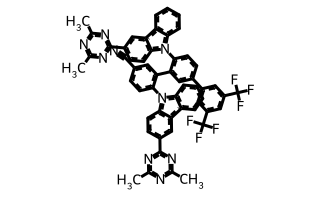 Cc1nc(C)nc(-c2ccc3c(c2)c2ccccc2n3-c2ccc(C#N)cc2-c2cc(-c3cc(C(F)(F)F)cc(C(F)(F)F)c3)ccc2-n2c3ccccc3c3cc(-c4nc(C)nc(C)n4)ccc32)n1